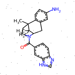 CC12CCN(C(=O)c3ccc4nc[nH]c4c3)C(Cc3cc(N)ccc31)C2(C)C